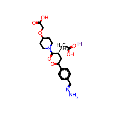 CC(=O)O.C[C@H](CC(=O)c1ccc(C=NN)cc1)C(=O)N1CCC(OCC(=O)O)CC1.I